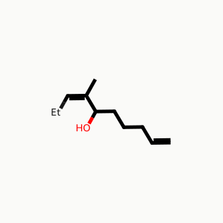 C=CCCCC(O)C(C)=CCC